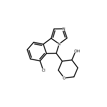 OC1CCOCC1C1c2c(Cl)cccc2-c2cncn21